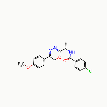 C=C(NC(=O)c1ccc(Cl)cc1)C1=NN=C(c2ccc(OC(F)(F)F)cc2)CO1